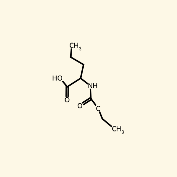 CCCC(=O)NC(CCC)C(=O)O